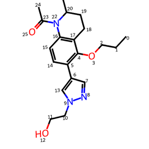 CCCOc1c(-c2cnn(CCO)c2)ccc2c1CCC(C)N2C(C)=O